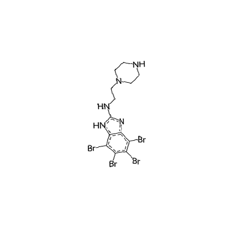 Brc1c(Br)c(Br)c2[nH]c(NCCN3CCNCC3)nc2c1Br